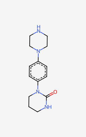 O=C1NCCCN1c1ccc(N2CCNCC2)cc1